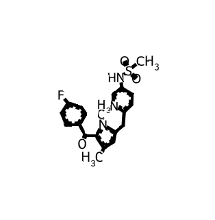 Cc1cc(Cc2ccc(NS(C)(=O)=O)cn2)n(C)c1C(=O)c1ccc(F)cc1